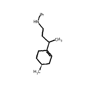 CC(C)NCCC(C)C1=CC[C@@H](C)CC1